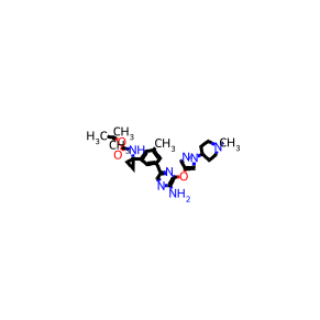 Cc1cc(-c2cnc(N)c(Oc3cnn(C4CCN(C)CC4)c3)n2)cc(C2(NC(=O)OC(C)(C)C)CC2)c1